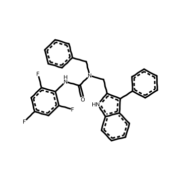 O=C(Nc1c(F)cc(F)cc1F)N(Cc1ccccc1)Cc1[nH]c2ccccc2c1-c1ccccc1